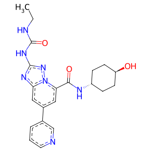 CCNC(=O)Nc1nc2cc(-c3cccnc3)cc(C(=O)N[C@H]3CC[C@H](O)CC3)n2n1